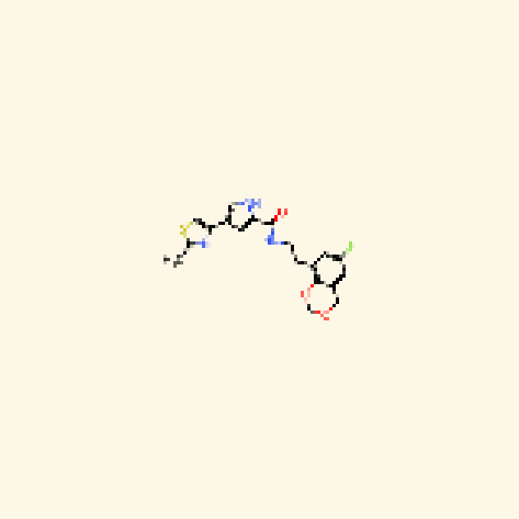 Cc1nc(-c2c[nH]c(C(=O)NCCc3cc(F)cc4c3OCOC4)c2)cs1